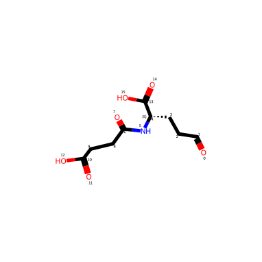 O=CCC[C@H](NC(=O)CCC(=O)O)C(=O)O